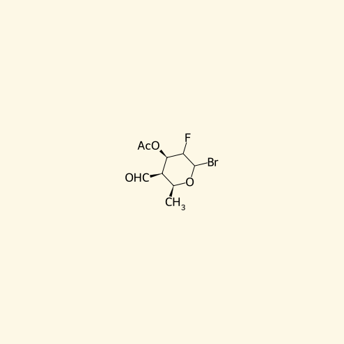 CC(=O)O[C@H]1C(F)C(Br)O[C@@H](C)[C@H]1C=O